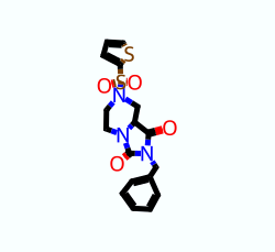 O=C1C2CN(S(=O)(=O)c3cccs3)CCN2C(=O)N1Cc1ccccc1